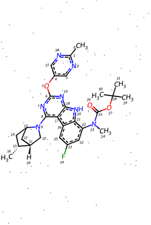 Cc1ncc(Oc2nc(N3C[C@H]4CC3C[C@H]4C)c3c(n2)[nH]c2c(N(C)C(=O)OC(C)(C)C)cc(F)cc23)cn1